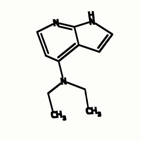 CCN(CC)c1ccnc2[nH]ccc12